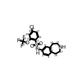 O=S(=O)(Nc1ccc2c(c1)CCNCC2)c1ccc(Cl)cc1OC(F)(F)F